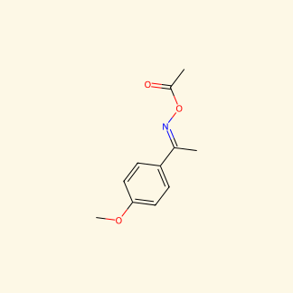 COc1ccc(C(C)=NOC(C)=O)cc1